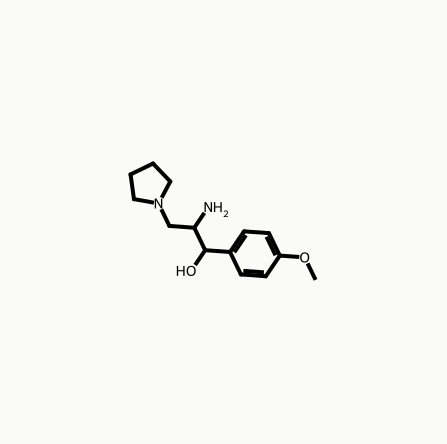 COc1ccc(C(O)C(N)CN2CCCC2)cc1